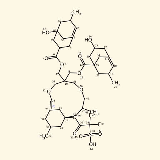 CC1C=C2CC(C(=O)OCC3(COC(=O)C45CC(=CC(C)C4)CC(O)C5)CO/C=C4\CC(C)CC(OC(=O)C(F)(F)S(=O)(=O)O)(C4)CC(C)COC3)CC(O)(C2)C1